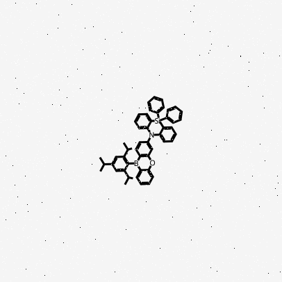 CC(C)c1cc(C(C)C)c(B2c3ccccc3Oc3cc(N4c5ccccc5[Si](c5ccccc5)(c5ccccc5)c5ccccc54)ccc32)c(C(C)C)c1